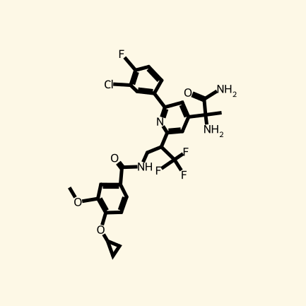 COc1cc(C(=O)NCC(c2cc(C(C)(N)C(N)=O)cc(-c3ccc(F)c(Cl)c3)n2)C(F)(F)F)ccc1OC1CC1